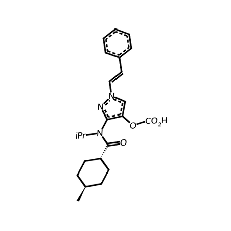 CC(C)N(c1nn(/C=C/c2ccccc2)cc1OC(=O)O)C(=O)[C@H]1CC[C@H](C)CC1